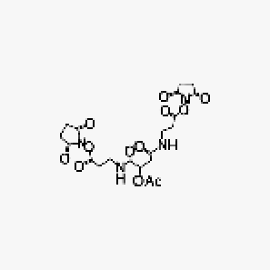 CC(=O)OC(CC(=O)NCCC(=O)ON1C(=O)CCC1=O)C(=O)NCCC(=O)ON1C(=O)CCC1=O